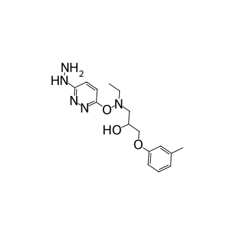 CCN(CC(O)COc1cccc(C)c1)Oc1ccc(NN)nn1